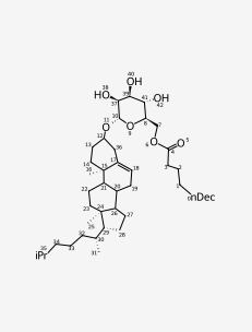 CCCCCCCCCCCCCC(=O)OC[C@H]1O[C@H](OC2CC[C@@]3(C)C(=CCC4C3CC[C@@]3(C)C4CC[C@@H]3[C@H](C)CCCC(C)C)C2)[C@@H](O)[C@@H](O)[C@@H]1O